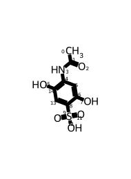 CC(=O)Nc1cc(O)c(S(=O)(=O)O)cc1O